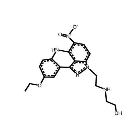 CCOc1ccc2c(c1)-c1nn(CCNCCO)c3ccc([N+](=O)[O-])c(c13)N2